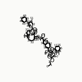 CCCOC(=O)[C@H](C)NP(=O)(Oc1ccccc1)C(F)c1ccc2sc(C(=O)NCC3CCCC[C@H]4CC[C@@H](C(=O)N5C[C@H](c6ccccc6)[C@@H](C)C5)N4C3=O)cc2c1